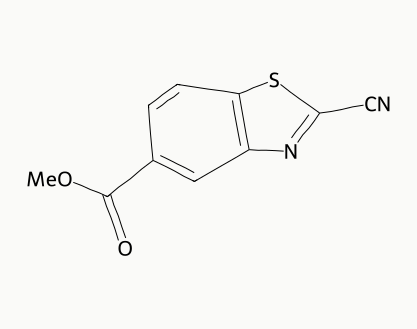 COC(=O)c1ccc2sc(C#N)nc2c1